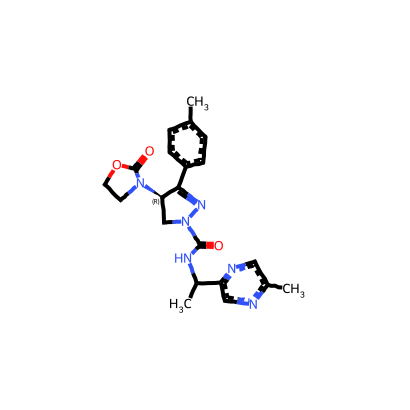 Cc1ccc(C2=NN(C(=O)NC(C)c3cnc(C)cn3)C[C@H]2N2CCOC2=O)cc1